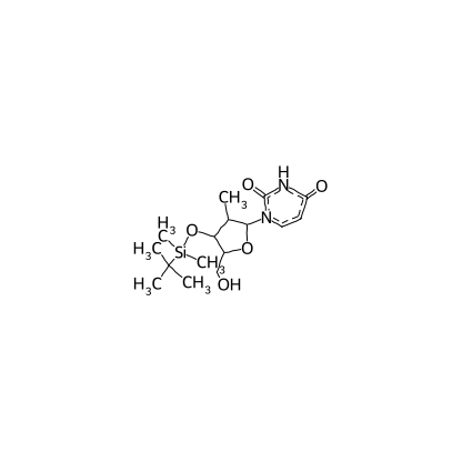 CC1C(O[Si](C)(C)C(C)(C)C)C(CO)OC1n1ccc(=O)[nH]c1=O